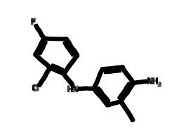 Cc1cc(Nc2ccc(F)cc2Cl)ccc1N